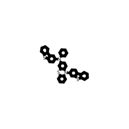 c1ccc(N(c2ccc3c(c2)Sc2ccccc2N3c2ccc3c(c2)sc2ccccc23)c2ccc3sc4ccccc4c3c2)cc1